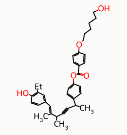 CCc1cc(/C=C(\C)C(C)C#CC(C)c2ccc(OC(=O)c3ccc(OCCCCCCO)cc3)cc2)ccc1O